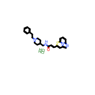 Cl.Cl.O=C(C=CC1=Cc2cnc3cccc(n23)S1)NCC1CCN(CCc2ccccc2)CC1